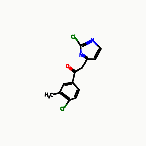 Cc1cc(C(=O)Cc2ccnc(Cl)n2)ccc1Cl